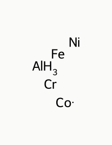 [AlH3].[Co].[Cr].[Fe].[Ni]